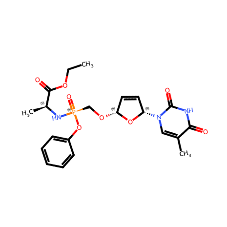 CCOC(=O)[C@H](C)N[P@@](=O)(CO[C@@H]1C=C[C@H](n2cc(C)c(=O)[nH]c2=O)O1)Oc1ccccc1